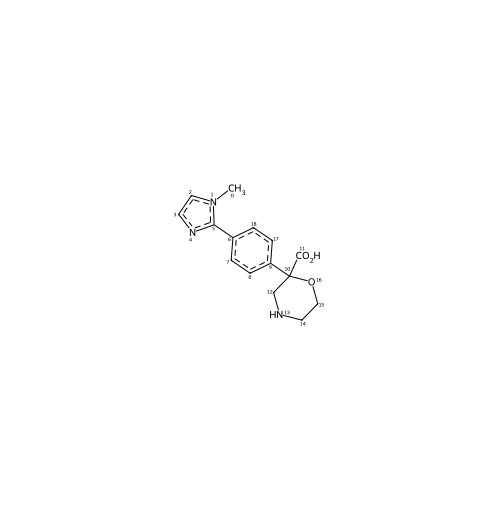 Cn1ccnc1-c1ccc(C2(C(=O)O)CNCCO2)cc1